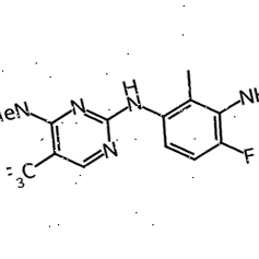 CNc1nc(Nc2ccc(F)c(N)c2C)ncc1C(F)(F)F